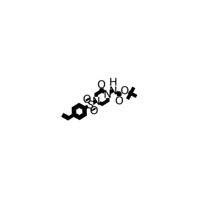 C=Cc1ccc(S(=O)(=O)N2CCN(NC(=O)OC(C)(C)C)C(=O)C2)cc1